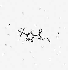 CCNC(=O)c1nc(C(C)(C)C)ns1